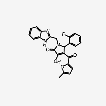 Cc1ccc(C(=O)C2=C(O)C(=O)N(Cc3nc4ccccc4[nH]3)C2c2ccccc2F)o1